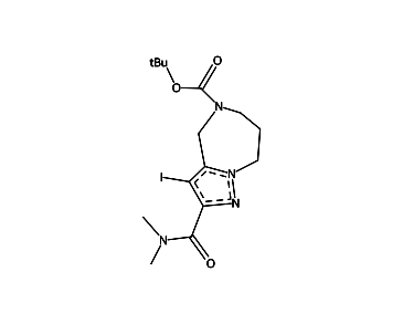 CN(C)C(=O)c1nn2c(c1I)CN(C(=O)OC(C)(C)C)CCC2